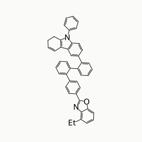 CCc1cccc2oc(-c3ccc(-c4ccccc4-c4ccccc4-c4ccc5c(c4)c4c(n5-c5ccccc5)CCC=C4)cc3)nc12